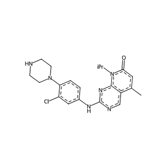 Cc1cc(=O)n(C(C)C)c2nc(Nc3ccc(N4CCNCC4)c(Cl)c3)ncc12